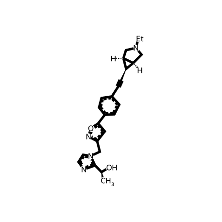 CCN1C[C@@H]2[C@H](C#Cc3ccc(-c4cc(Cn5ccnc5[C@H](C)O)no4)cc3)[C@@H]2C1